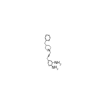 Nc1ccc(CC#CCN2CCC(Cc3ccccc3)CC2)cc1N